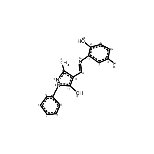 Cc1nn(-c2ccccc2)c(O)c1/C=N/c1cc(F)ccc1O